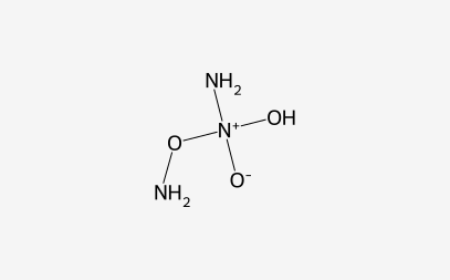 NO[N+](N)([O-])O